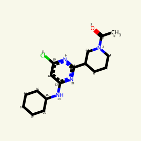 CC(=O)N1CCCC(c2nc(Cl)cc(NC3CCCCC3)n2)C1